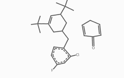 CC(C)(C)C1=CC(C(C)(C)C)CC(Cc2ccc(F)cc2Cl)C1.O=C1C=CCC=C1